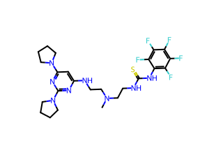 CN(CCNC(=S)Nc1c(F)c(F)c(F)c(F)c1F)CCNc1cc(N2CCCC2)nc(N2CCCC2)n1